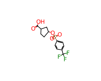 O=C(O)C1CCC(OS(=O)(=O)c2ccc(C(F)(F)F)cc2)C1